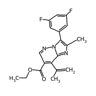 C=C(C)c1c(C(=O)OCC)cnn2c(-c3cc(F)cc(F)c3)c(C)nc12